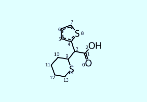 O=C(O)C(c1cccs1)C1CCCCS1